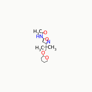 CC(=O)Nc1cc(C(C)(C)COC2CCCCO2)no1